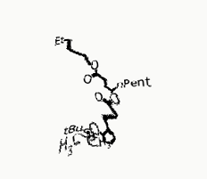 CC/C=C/CCOC(=O)CCC(CCCCC)OC(=O)/C=C/c1ccccc1O[Si](C)(C)C(C)(C)C